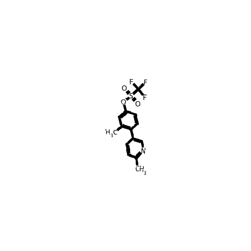 Cc1ccc(-c2ccc(OS(=O)(=O)C(F)(F)F)cc2C)cn1